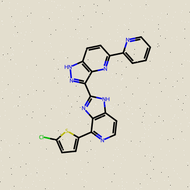 Clc1ccc(-c2nccc3[nH]c(-c4n[nH]c5ccc(-c6ccccn6)nc45)nc23)s1